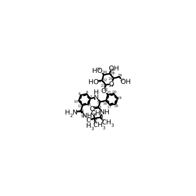 CC(NC(=O)C(Nc1cccc(C(=N)N)c1)c1ccccc1OC1OC(CO)C(O)C(O)C1O)C(C)(C)C